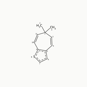 CC1(C)C=Cc2ccsc2C=C1